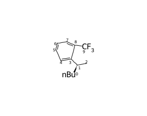 CCCC[C@H](C)c1ccccc1C(F)(F)F